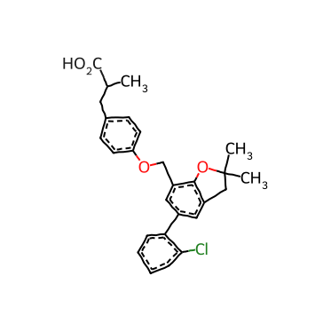 CC(Cc1ccc(OCc2cc(-c3ccccc3Cl)cc3c2OC(C)(C)C3)cc1)C(=O)O